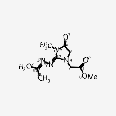 COC(=O)CN1CC(=O)N(C)/C1=N\N=C(C)C